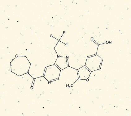 Cc1oc2ccc(C(=O)O)cc2c1-c1nn(CC(F)(F)F)c2cc(C(=O)N3CCCOCC3)ncc12